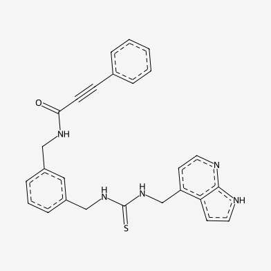 O=C(C#Cc1ccccc1)NCc1cccc(CNC(=S)NCc2ccnc3[nH]ccc23)c1